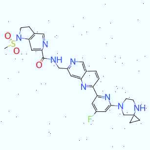 CS(=O)(=O)N1CCc2cnc(C(=O)NCc3cc4nc(-c5cc(F)cc(N6CCNC7(CC7)C6)n5)ccc4cn3)cc21